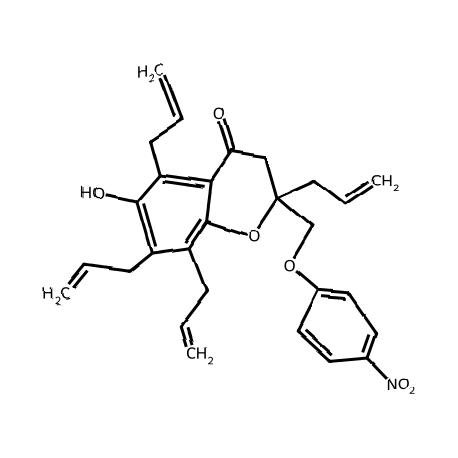 C=CCc1c(O)c(CC=C)c2c(c1CC=C)OC(CC=C)(COc1ccc([N+](=O)[O-])cc1)CC2=O